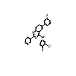 Fc1cccc(-c2ccc3nc(-c4cccnc4)nc(Nc4ccc(F)c(Cl)c4)c3c2)c1